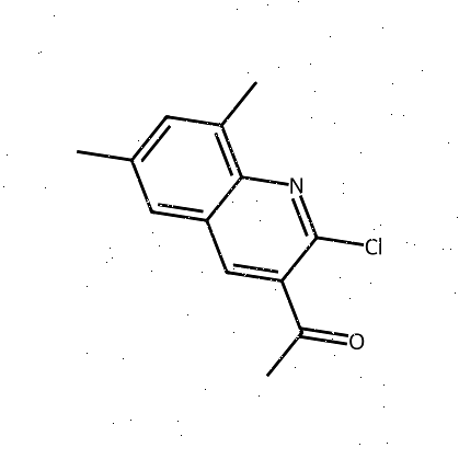 CC(=O)c1cc2cc(C)cc(C)c2nc1Cl